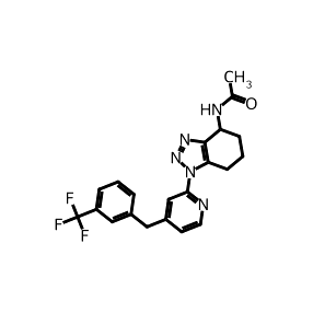 CC(=O)NC1CCCc2c1nnn2-c1cc(Cc2cccc(C(F)(F)F)c2)ccn1